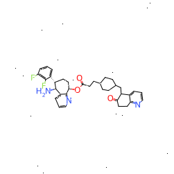 N[C@@H]1c2cccnc2[C@H](OC(=O)CCC2CCC(CC3C(=O)CCc4ncccc43)CC2)CC[C@H]1c1cccc(F)c1F